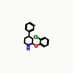 Clc1ccccc1OC1CC(c2c[c]ccc2)CCN1